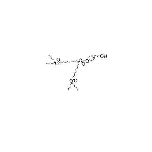 CCCCC(CCCC)OC(=O)CCCCCCCCC(CCCCCCCCC(=O)OC(CCCC)CCCC)OC(=O)COC1CCN(CCCO)CC1